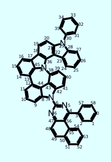 c1ccc(-c2nc(-n3c4cccc5c6cccc7c8ccc9c(c%10ccccc%10n9-c9ccccc9)c8n(c8cccc3c8c54)c67)nc3ccc4ccccc4c23)cc1